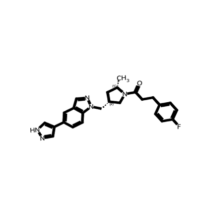 C[C@H]1C[C@@H](Cn2ncc3cc(-c4cn[nH]c4)ccc32)CN1C(=O)CCc1ccc(F)cc1